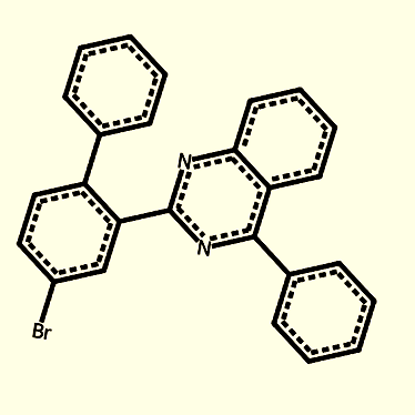 Brc1ccc(-c2ccccc2)c(-c2nc(-c3ccccc3)c3ccccc3n2)c1